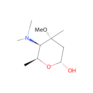 CO[C@]1(C)C[C@H](O)O[C@@H](C)[C@H]1N(C)C